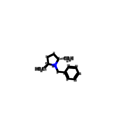 O=C(O)[C@H]1CC[C@H](C(=O)O)N1Cc1ccccc1